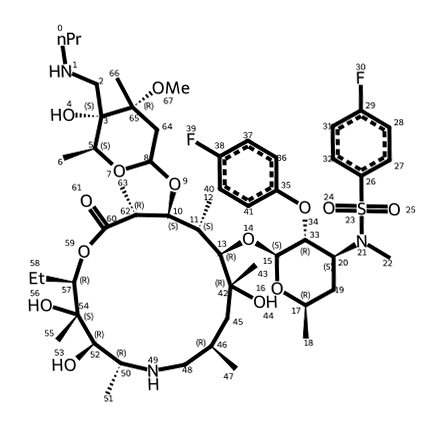 CCCNC[C@]1(O)[C@H](C)OC(O[C@H]2[C@H](C)[C@@H](O[C@@H]3O[C@H](C)C[C@H](N(C)S(=O)(=O)c4ccc(F)cc4)[C@H]3Oc3ccc(F)cc3)[C@](C)(O)C[C@@H](C)CN[C@H](C)[C@@H](O)[C@](C)(O)[C@@H](CC)OC(=O)[C@@H]2C)C[C@@]1(C)OC